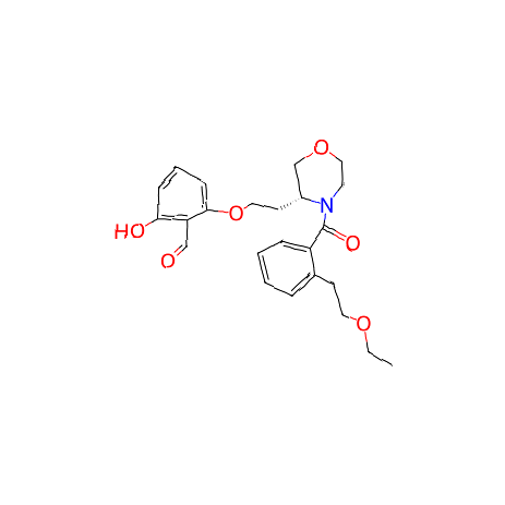 CCOCCc1ccccc1C(=O)N1CCOC[C@H]1CCOc1cccc(O)c1C=O